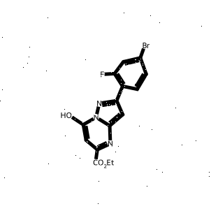 CCOC(=O)c1cc(O)n2nc(-c3ccc(Br)cc3F)cc2n1